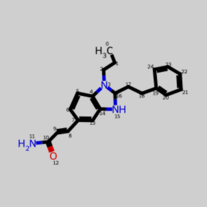 CCCN1c2ccc(/C=C/C(N)=O)cc2NC1CCc1ccccc1